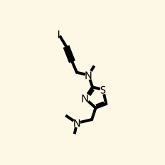 CN(C)Cc1csc(N(C)CC#CI)n1